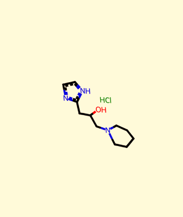 Cl.OC(Cc1ncc[nH]1)CN1CCCCC1